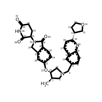 C[C@@H]1CN(Cc2ccc3nc([C@@H]4CCOC4)ccc3c2)C[C@H]1Oc1ccc2c(c1)CN(C1CCC(=O)NC1=O)C2=O